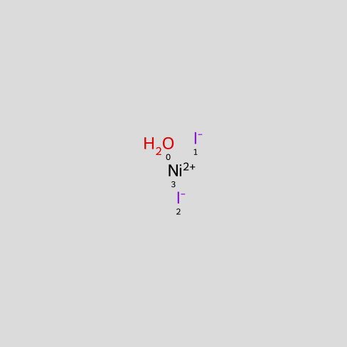 O.[I-].[I-].[Ni+2]